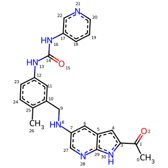 CC(=O)c1cc2cc(NCc3cc(NC(=O)Nc4cccnc4)ccc3C)cnc2[nH]1